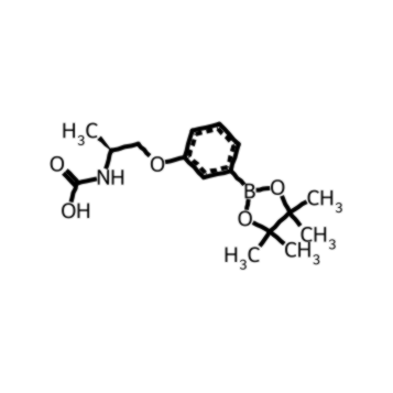 C[C@@H](COc1cccc(B2OC(C)(C)C(C)(C)O2)c1)NC(=O)O